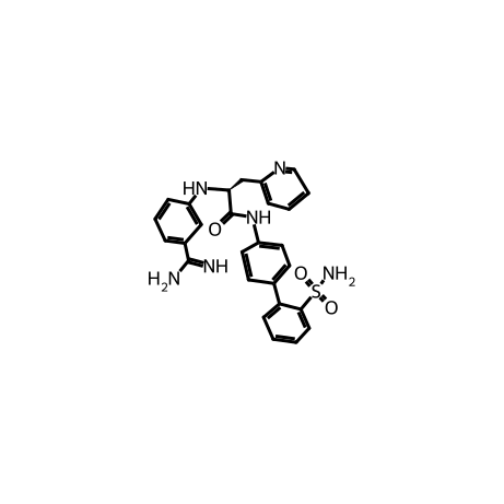 N=C(N)c1cccc(N[C@@H](Cc2ccccn2)C(=O)Nc2ccc(-c3ccccc3S(N)(=O)=O)cc2)c1